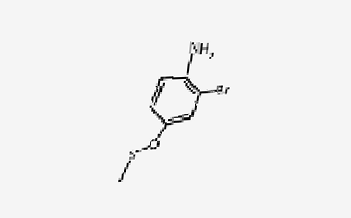 CSOc1ccc(N)c(Br)c1